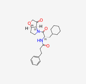 O=C(CCc1ccccc1)N[C@@H](CC1CCCCC1)C(=O)N1CC[C@H]2OCC(=O)[C@H]21